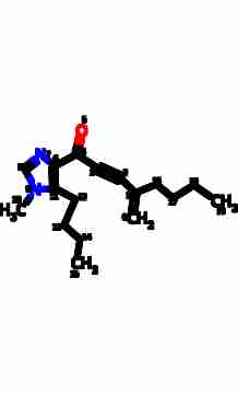 C=C(C#CC(=O)c1ncn(C)c1CCCC)CCCC